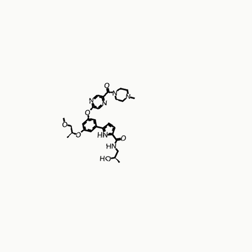 COC[C@H](C)Oc1cc(Oc2cnc(C(=O)N3CCN(C)CC3)cn2)cc(-c2ccc(C(=O)NC[C@@H](C)O)[nH]2)c1